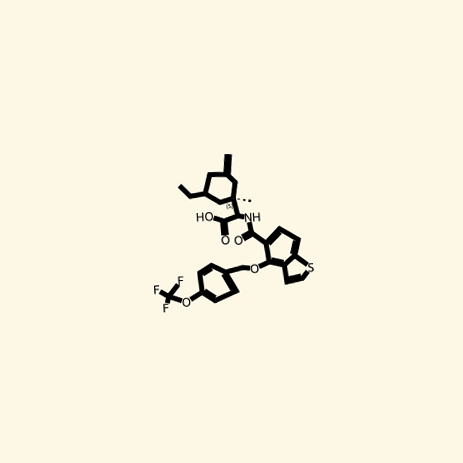 C=C1CC(CC)C[C@](C)(C(NC(=O)c2ccc3sccc3c2OCc2ccc(OC(F)(F)F)cc2)C(=O)O)C1